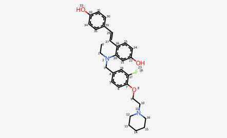 CCN(Cc1ccc(OCCN2CCCCC2)c(F)c1)c1cc(O)ccc1C=Cc1ccc(O)cc1